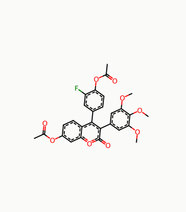 COc1cc(-c2c(-c3ccc(OC(C)=O)c(F)c3)c3ccc(OC(C)=O)cc3oc2=O)cc(OC)c1OC